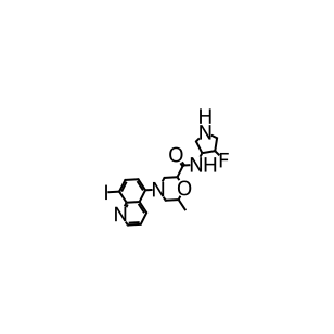 CC1CN(c2ccc(I)c3ncccc23)CC(C(=O)NC2CNCC2F)O1